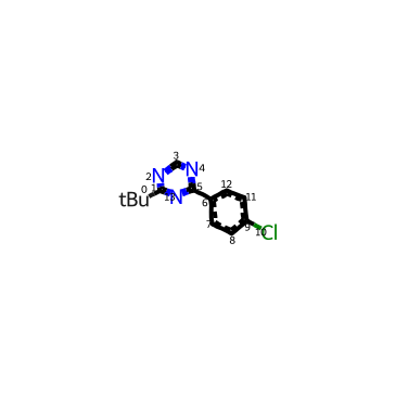 CC(C)(C)c1ncnc(-c2ccc(Cl)cc2)n1